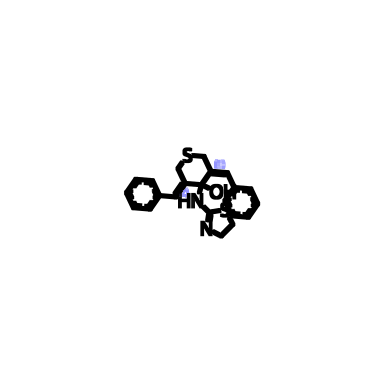 OC1(NC2=NCCS2)/C(=C/c2ccccc2)CSC/C1=C/c1ccccc1